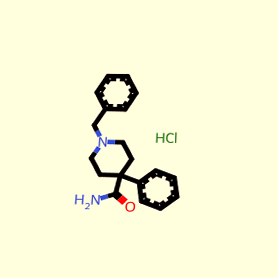 Cl.NC(=O)C1(c2ccccc2)CCN(Cc2ccccc2)CC1